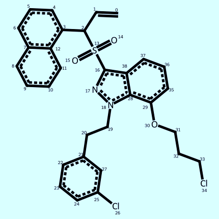 C=CC(c1cccc2ccccc12)S(=O)(=O)c1nn(CCc2cccc(Cl)c2)c2c(OCCCCl)cccc12